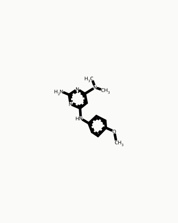 COc1ccc(Nc2cc(N(C)C)nc(N)n2)cc1